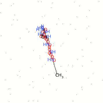 CCCCCCCCCCCCCCCCCC(=O)NCCOCCOCC(=O)NCCOCCOCC(=O)NCCOCCOCC(=O)NCCCC[C@H](NCC(=O)[C@@H](N)Cc1cnc[nH]1)C(=O)CN[C@@H](CO)C(C)=O